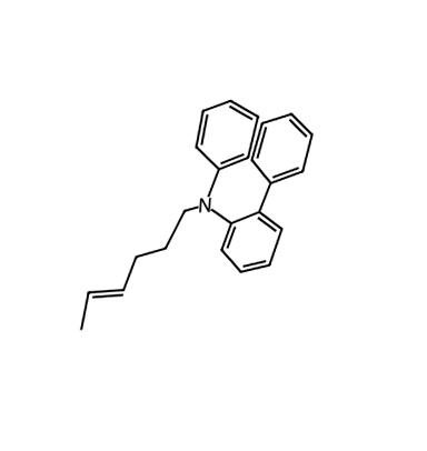 CC=CCCCN(c1ccccc1)c1ccccc1-c1ccccc1